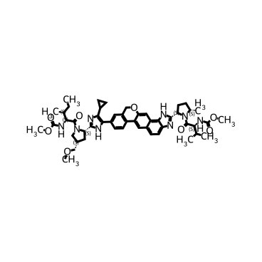 CC[C@H](C)[C@H](NC(=O)OC)C(=O)N1C[C@@H](COC)C[C@H]1c1nc(C2CC2)c(-c2ccc3c(c2)COc2cc4c(ccc5nc([C@@H]6CC[C@H](C)N6C(=O)[C@@H](NC(=O)OC)C(C)C)[nH]c54)cc2-3)[nH]1